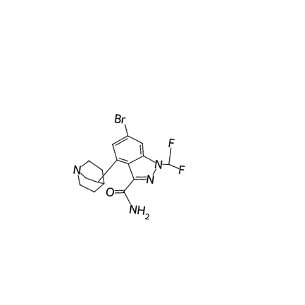 NC(=O)c1nn(C(F)F)c2cc(Br)cc(C3CN4CCC3CC4)c12